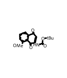 COc1cccc2c1C(=O)C(NC(=O)OC(C)(C)C)=CC2=O